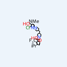 CNC(O)c1ccc(N2CCC(CC3CCN(C(=O)C(O)(c4cccc(C(C)C)c4)C(F)(F)F)CC3)CC2)nc1Cl